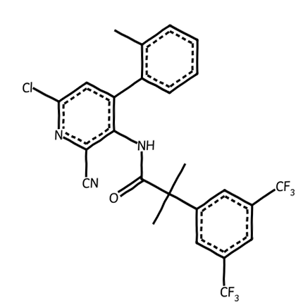 Cc1ccccc1-c1cc(Cl)nc(C#N)c1NC(=O)C(C)(C)c1cc(C(F)(F)F)cc(C(F)(F)F)c1